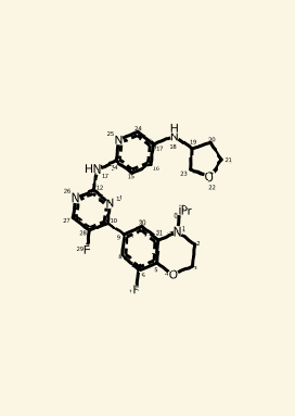 CC(C)N1CCOc2c(F)cc(-c3nc(Nc4ccc(NC5CCOC5)cn4)ncc3F)cc21